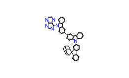 c1ccc2c(c1)-c1ccc(-n3c4ccccc4c4cc(-c5ccc6c(c5)c5ccccc5n6-c5ncnc6nccnc56)ccc43)cc1C21C2CC3CC(C2)CC1C3